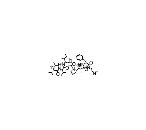 CC[C@H](C)[C@@H]([C@@H](CC(=O)N1CCC[C@H]1[C@H](OC)[C@@H](C)C(=O)N[C@@H](Cc1ccccc1)C(=O)NCCN(C)C)OC)N(C)C(=O)[C@@H](NC(=O)[C@H](C(C)C)N(C)C(C)C)C(C)C